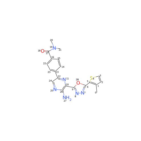 Cc1ccsc1-c1nnc(-c2nc(-c3ccc(C(=O)N(C)C)cc3)cnc2N)o1